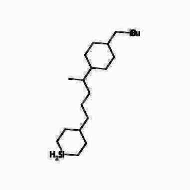 CCC(C)CC1CCC(C(C)CCCC2CC[SiH2]CC2)CC1